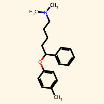 Cc1ccc(OC(CCCCN(C)C)c2ccccc2)cc1